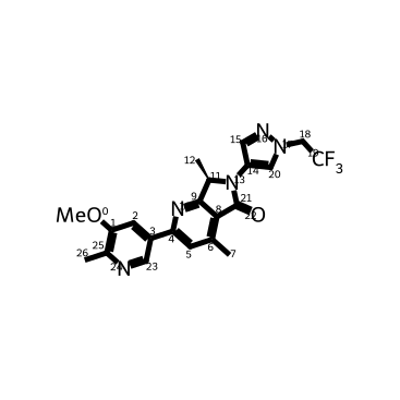 COc1cc(-c2cc(C)c3c(n2)[C@@H](C)N(c2cnn(CC(F)(F)F)c2)C3=O)cnc1C